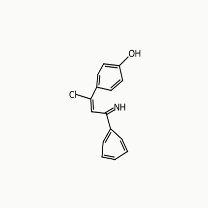 N=C(/C=C(/Cl)c1ccc(O)cc1)c1ccccc1